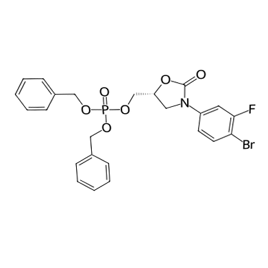 O=C1O[C@@H](COP(=O)(OCc2ccccc2)OCc2ccccc2)CN1c1ccc(Br)c(F)c1